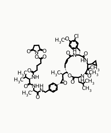 COc1ccc(C[C@H]2NC(=O)C=CC[C@@H]([C@H](C)[C@H]3O[C@@H]3c3ccc(CNC(=O)[C@H](C)NC(=O)[C@@H](NC(=O)CCCC(=O)ON4C(=O)CCC4=O)C(C)C)cc3)OC(=O)[C@H](CC(C)C)NC(=O)C(C)(C)C(C3CC3)NC2=O)cc1Cl